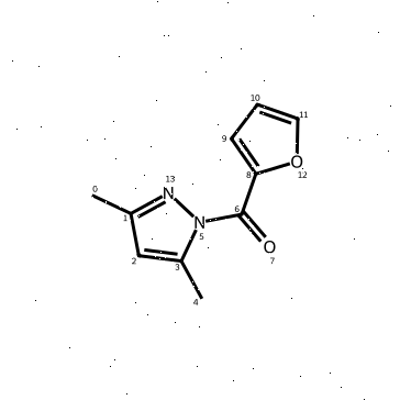 Cc1cc(C)n(C(=O)c2ccco2)n1